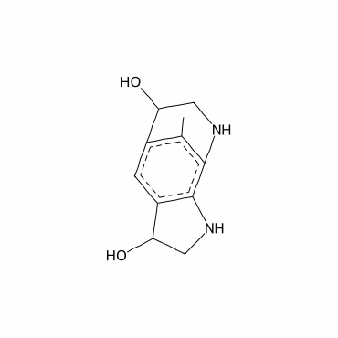 Cc1c2cc3c(c1NCC2O)NCC3O